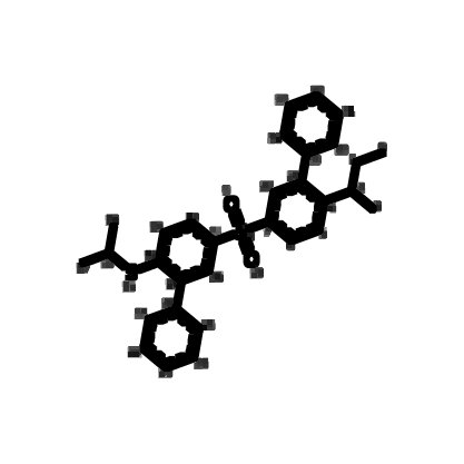 CCC(C)c1ccc(S(=O)(=O)c2ccc(SC(C)C)c(-c3ccccc3)c2)cc1-c1ccccc1